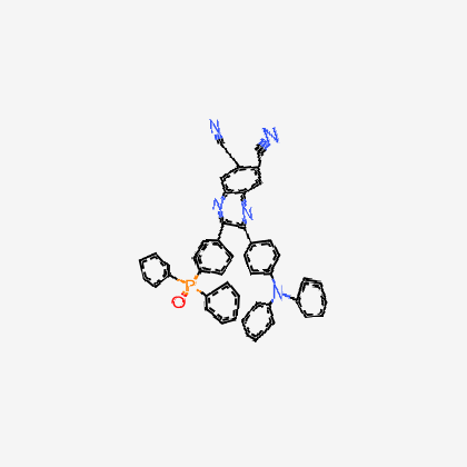 N#Cc1cc2nc(-c3ccc(N(c4ccccc4)c4ccccc4)cc3)c(-c3ccc(P(=O)(c4ccccc4)c4ccccc4)cc3)nc2cc1C#N